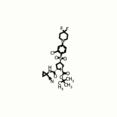 CC(C)(C)OC(=O)N1C[C@H](S(=O)(=O)c2ccc(N3CCC(F)(F)CC3)cc2Cl)C[C@H]1C(=O)NC1(C#N)CC1